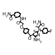 CC(C(N)=O)N(c1ccc(F)cc1)c1nc(N)c(C(=O)c2ccc(OCC(=O)Nc3cccc(C(N)=O)c3)cc2)s1